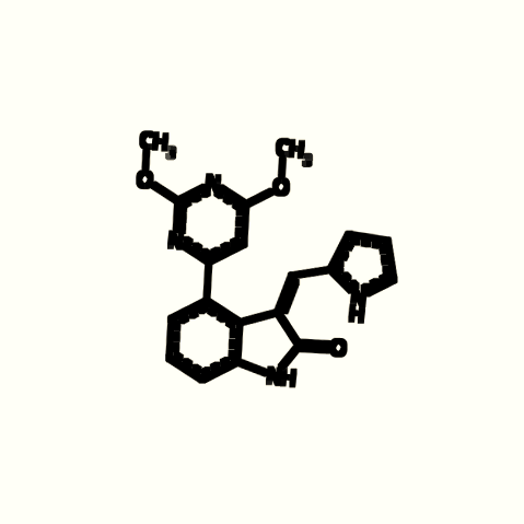 COc1cc(-c2cccc3c2C(=Cc2ccc[nH]2)C(=O)N3)nc(OC)n1